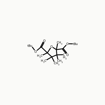 CC(C)(C)OC(=O)C1(C)OC(C)(C(=O)OC(C)(C)C)C(C)(C)C1(C)C